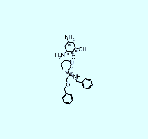 N[C@H]1C[C@@H](O)[C@H](O[C@@H]2CCC[C@@H]([C@H](COCc3ccccc3)NCc3ccccc3)O2)[C@@H](N)C1